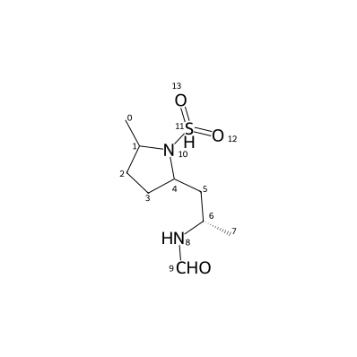 CC1CCC(C[C@H](C)NC=O)N1[SH](=O)=O